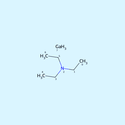 CCN(CC)CC.[GaH3]